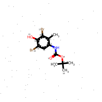 Cc1c(NC(=O)OC(C)(C)C)cc(Br)c(O)c1Br